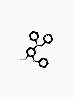 COc1ccc(N(Cc2cccnc2)c2ccccc2)cc1Oc1ccccc1